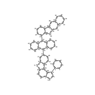 c1ccc(-c2csc3ccc4sc5cc(-c6c7ccccc7c(-c7cccc8c7oc7cc9ccccc9cc78)c7ccccc67)ccc5c4c23)cc1